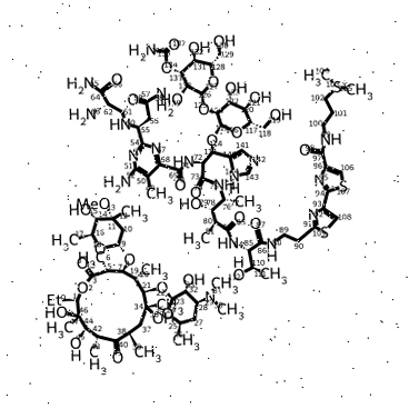 CC[C@H]1OC(=O)[C@H](C)[C@@H](O[C@H]2C[C@@](C)(OC)[C@@H](O)[C@H](C)O2)[C@H](C)[C@@H](O[C@@H]2O[C@H](C)C[C@H](N(C)C)[C@H]2O)[C@](C)(O)C[C@@H](C)C(=O)[C@H](C)[C@@H](O)[C@]1(C)O.Cc1c(N)nc([C@H](CC(N)=O)NC[C@H](N)C(N)=O)nc1C(=O)N[C@H](C(=O)N[C@H](C)[C@@H](O)[C@H](C)C(=O)N[C@H](C(=O)NCCc1nc(-c2nc(C(=O)NCCC[S+](C)C)cs2)cs1)[C@@H](C)O)[C@@H](O[C@@H]1O[C@@H](CO)[C@H](O)[C@@H](O)[C@@H]1O[C@@H]1O[C@@H](CO)[C@H](O)[C@@H](OC(N)=O)[C@@H]1O)c1cnc[nH]1